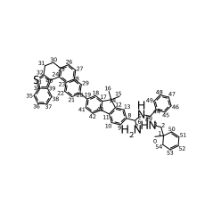 CC1(CN[C@H](NC(N)c2ccc3c(c2)C(C)(C)c2cc(-c4ccc5c6c(ccc5c4)CCc4sc5ccccc5c4-6)ccc2-3)c2ccccc2)C=CC=CC1